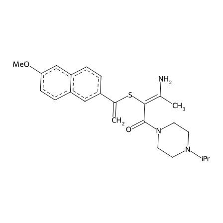 C=C(S/C(C(=O)N1CCN(C(C)C)CC1)=C(/C)N)c1ccc2cc(OC)ccc2c1